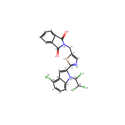 O=C1c2ccccc2C(=O)N1Cc1cnc(-c2cc3c(Br)cccc3n2C(F)C(F)F)s1